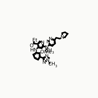 CCC(=O)c1cnc(N(C)c2ccc(CCN3CCCC3)nn2)cc1Nc1cccc(-c2ncn(C)n2)c1OC